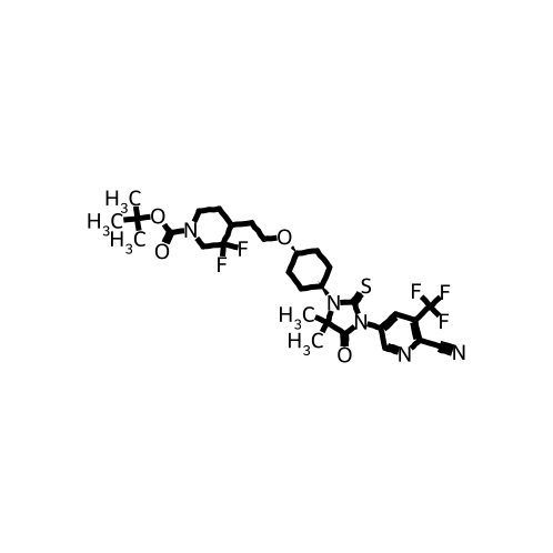 CC(C)(C)OC(=O)N1CCC(CCO[C@H]2CC[C@H](N3C(=S)N(c4cnc(C#N)c(C(F)(F)F)c4)C(=O)C3(C)C)CC2)C(F)(F)C1